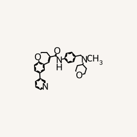 CN(Cc1ccc(NC(=O)C2=Cc3cc(-c4cccnc4)ccc3OCC2)cc1)C1CCOCC1